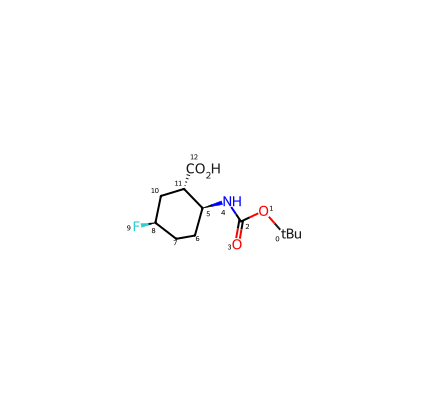 CC(C)(C)OC(=O)N[C@H]1CC[C@@H](F)C[C@@H]1C(=O)O